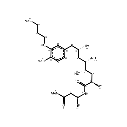 CNC(=O)C[C@@H](NC(=O)[C@@H](C[C@H](O)[C@@H](N)C[C@H](Cc1ccc(OC)c(OCCCOC)c1)C(C)C)C(C)C)C(C)C